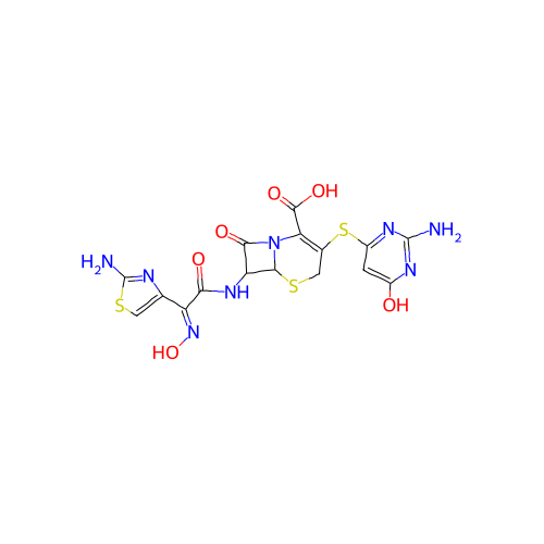 Nc1nc(O)cc(SC2=C(C(=O)O)N3C(=O)C(NC(=O)C(=NO)c4csc(N)n4)C3SC2)n1